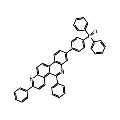 O=P(c1ccccc1)(c1ccccc1)c1ccc(-c2ccc3c(c2)nc(-c2ccccc2)c2c4ccc(-c5ccccc5)nc4ccc32)cc1